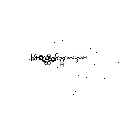 CC(C)c1ccc2nc(C3C(=O)c4ccc(C(=O)OCC(O)COCCCCOC(=O)CCS)cc4C3=O)c(O)cc2c1